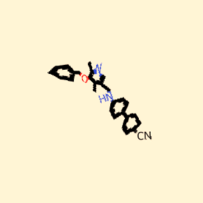 Cc1ncc(CNc2ccc(-c3ccc(C#N)cc3)cc2)c(C)c1OCc1ccccc1